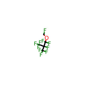 FCOC(F)(F)C(F)(C(F)(F)F)C(F)(F)F